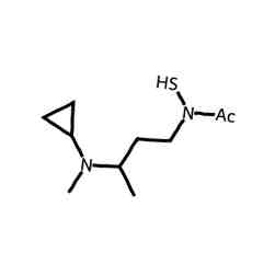 CC(=O)N(S)CCC(C)N(C)C1CC1